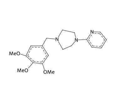 COc1cc(CN2CCN(c3ccccn3)CC2)cc(OC)c1OC